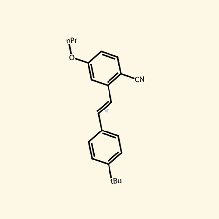 [CH2]CCOc1ccc(C#N)c(/C=C/c2ccc(C(C)(C)C)cc2)c1